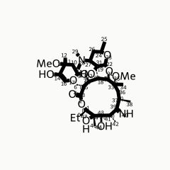 CC[C@H]1OC(=O)[C@H](C)[C@@H](OC2CC(C)(OC)C(O)=CO2)[C@H](C)[C@@H](OC2OC(C)CC(N(C)C)C2O)[C@](C)(OC)C[C@@H](C)C(=N)[C@H](C)[C@@H](O)[C@]1(C)O